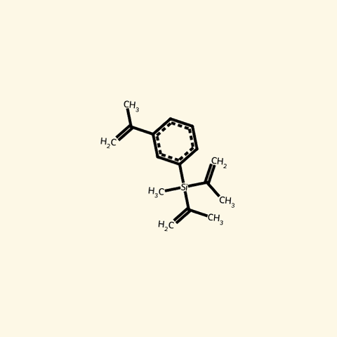 C=C(C)c1cccc([Si](C)(C(=C)C)C(=C)C)c1